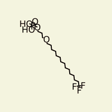 O=P(O)(O)OCCCOCCCCCCCCCCCCCCC(F)(F)F